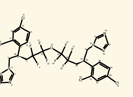 FC(F)(C[C@@H](Cn1cncn1)c1ccc(Cl)cc1Cl)C(F)(F)OC(F)(F)C(F)(F)C[C@@H](Cn1cncn1)c1ccc(Cl)cc1Cl